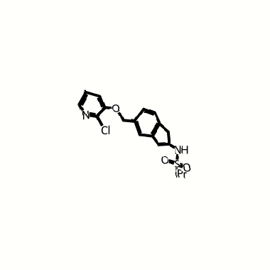 CC(C)S(=O)(=O)NC1Cc2ccc(COc3cccnc3Cl)cc2C1